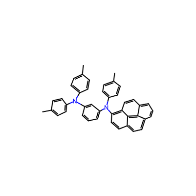 Cc1ccc(N(c2ccc(C)cc2)c2cccc(N(c3ccc(C)cc3)c3ccc4ccc5cccc6ccc3c4c56)c2)cc1